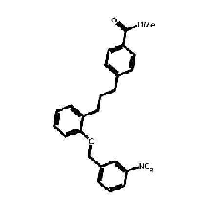 COC(=O)c1ccc(CCCc2ccccc2OCc2cccc([N+](=O)[O-])c2)cc1